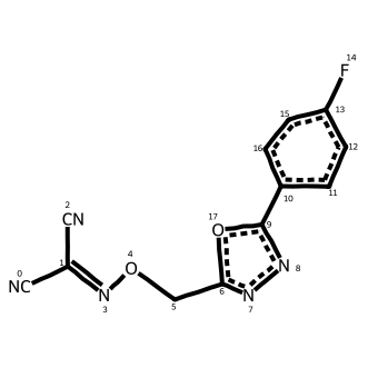 N#CC(C#N)=NOCc1nnc(-c2ccc(F)cc2)o1